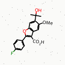 COc1cc2c(C(=O)O)c(-c3ccc(F)cc3)oc2cc1C(C)(C)O